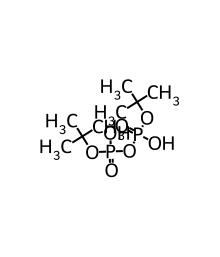 CC(C)(C)OP(=O)(O)OP(=O)(O)OC(C)(C)C